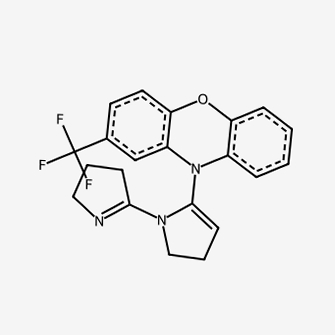 FC(F)(F)c1ccc2c(c1)N(C1=CCCN1C1=NCCC1)c1ccccc1O2